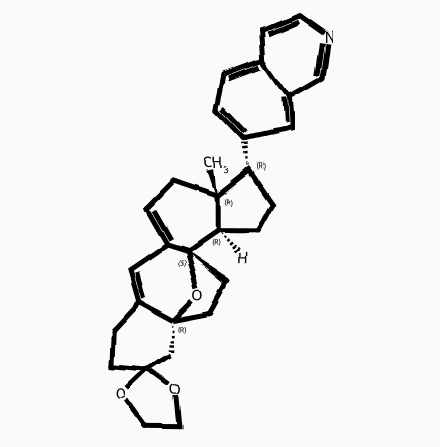 C[C@]12CC=C3C=C4CCC5(C[C@]46CC[C@]3(O6)[C@@H]1CC[C@H]2c1ccc2ccncc2c1)OCCO5